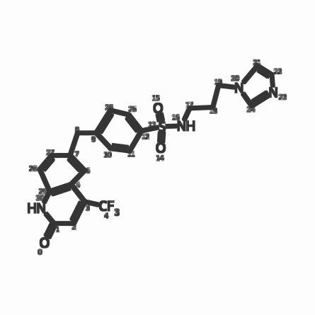 O=c1cc(C(F)(F)F)c2cc(Cc3ccc(S(=O)(=O)NCCCn4ccnc4)cc3)ccc2[nH]1